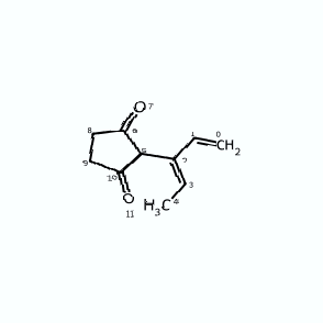 C=C/C(=C/C)C1C(=O)CCC1=O